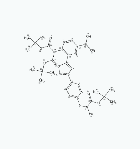 CN(Cc1ccc(-c2cc(-c3nc(B(O)O)cnc3N(C(=O)OC(C)(C)C)C(=O)OC(C)(C)C)on2)cc1)C(=O)OC(C)(C)C